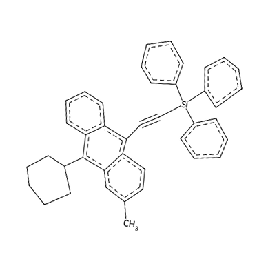 Cc1ccc2c(C#C[Si](c3ccccc3)(c3ccccc3)c3ccccc3)c3ccccc3c(C3CCCCC3)c2c1